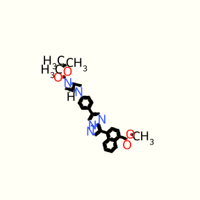 COC(=O)c1ccc(-c2cnn3cc(-c4ccc(N5CC6[C@H]5CN6C(=O)OC(C)(C)C)cc4)cnc23)c2ccccc12